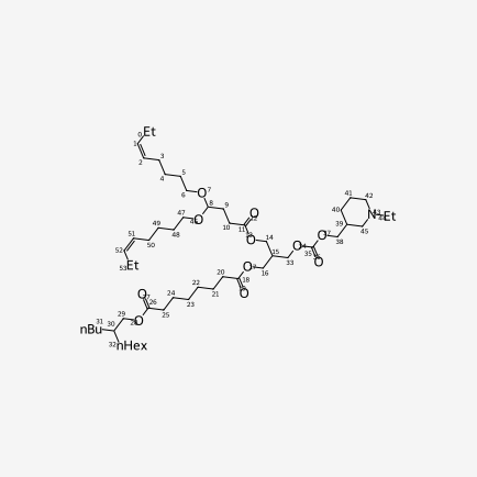 CC/C=C\CCCCOC(CCC(=O)OCC(COC(=O)CCCCCCC(=O)OCC(CCCC)CCCCCC)COC(=O)OCC1CCCN(CC)C1)OCCCC/C=C\CC